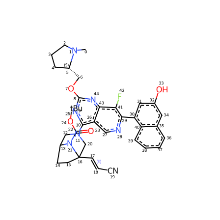 CN1CCC[C@H]1COc1nc(N2CC3CCC(/C=C/C#N)(C2)N3C(=O)OC(C)(C)C)c2cnc(-c3cc(O)cc4ccccc34)c(F)c2n1